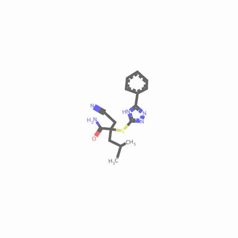 CC(C)CC(CC#N)(Sc1nnc(-c2ccccc2)[nH]1)C(N)=O